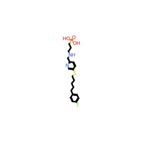 O=P(O)(O)CCCNCc1ccc(SCCCCCc2ccc(F)cc2)cn1